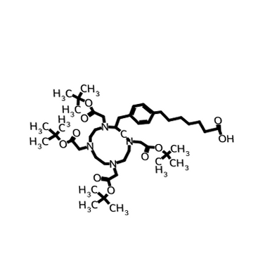 CC(C)(C)OC(=O)CN1CCN(CC(=O)OC(C)(C)C)CCN(CC(=O)OC(C)(C)C)C(Cc2ccc(CCCCCCC(=O)O)cc2)CN(CC(=O)OC(C)(C)C)CC1